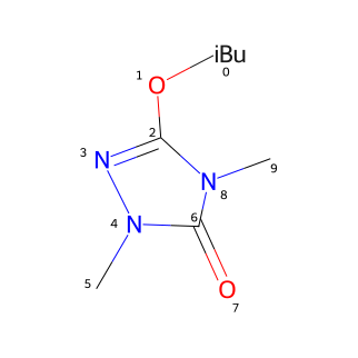 CCC(C)Oc1nn(C)c(=O)n1C